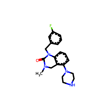 CN1Cc2c(N3CCNCC3)cccc2N(Cc2cccc(F)c2)C1=O